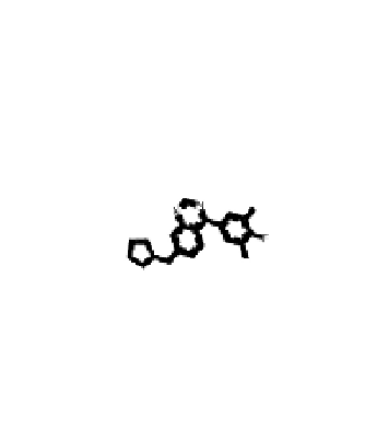 Cc1cc(-c2ncnc3cc(CC4CCCC4)ccc23)cc(C)c1F